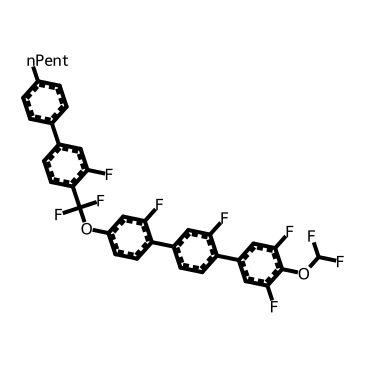 CCCCCc1ccc(-c2ccc(C(F)(F)Oc3ccc(-c4ccc(-c5cc(F)c(OC(F)F)c(F)c5)c(F)c4)c(F)c3)c(F)c2)cc1